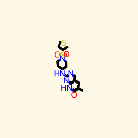 Cc1cc2cnc(NC3CCN(S(=O)(=O)C4CCSC4)CC3)nc2[nH]c1=O